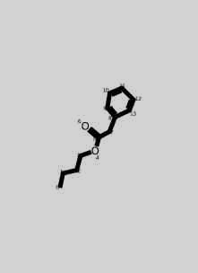 CCCCOC(=O)Cc1ccccc1